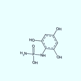 NP(=O)(O)Nc1c(O)cc(O)cc1O